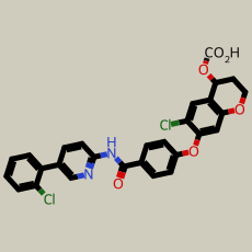 O=C(O)OC1CCOc2cc(Oc3ccc(C(=O)Nc4ccc(-c5ccccc5Cl)cn4)cc3)c(Cl)cc21